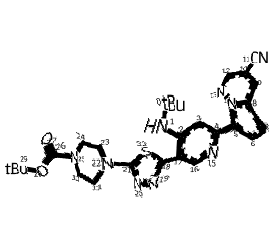 CC(C)(C)Nc1cc(-c2ccc3cc(C#N)cnn23)ncc1-c1nnc(N2CCN(C(=O)OC(C)(C)C)CC2)s1